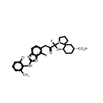 Cc1cccc(Cl)c1Nc1nc2ccc(CC(=O)C(F)(O[C@H]3CC[C@H](C(=O)O)CC3)N3CCCC3)c(F)c2o1